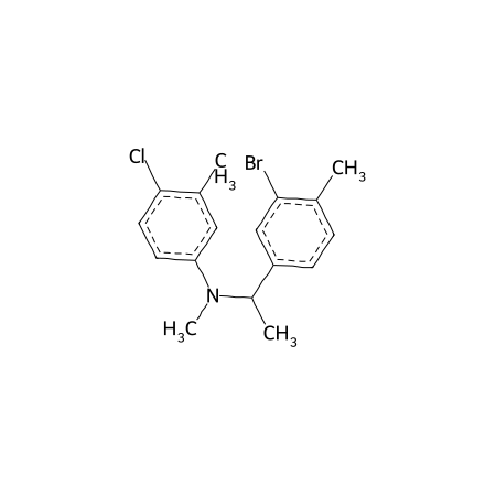 Cc1cc(N(C)C(C)c2ccc(C)c(Br)c2)ccc1Cl